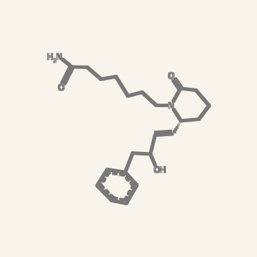 NC(=O)CCCCCCN1C(=O)CCC[C@@H]1C=CC(O)Cc1ccccc1